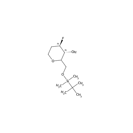 CC(C)(C)[Si](C)(C)OCC1OCC[C@@H](F)[C@@H]1O